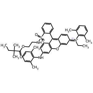 CC/[N+](c1c(C)cccc1C)=c1/ccc2c(-c3ccccc3S(=O)(=O)NCCOC(=O)C(C)(C)CC)c3ccc(Nc4c(C)cccc4C)cc3oc-2c1